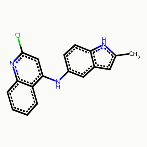 Cc1cc2cc(Nc3cc(Cl)nc4ccccc34)ccc2[nH]1